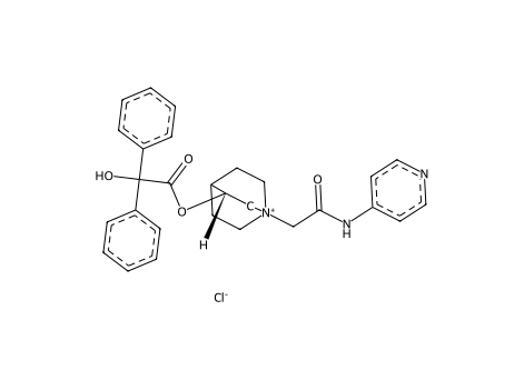 O=C(C[N+]12CCC(CC1)[C@@H](OC(=O)C(O)(c1ccccc1)c1ccccc1)C2)Nc1ccncc1.[Cl-]